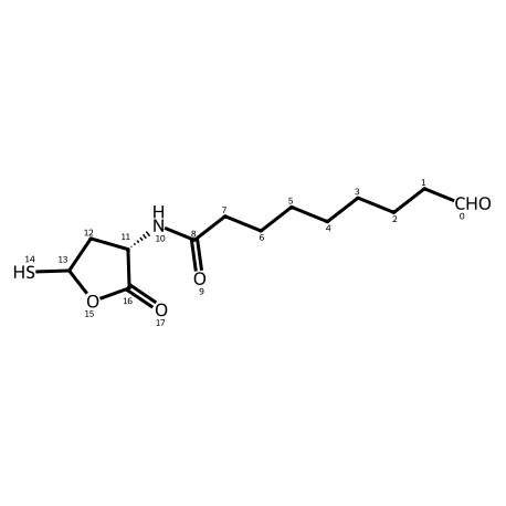 O=CCCCCCCCC(=O)N[C@H]1CC(S)OC1=O